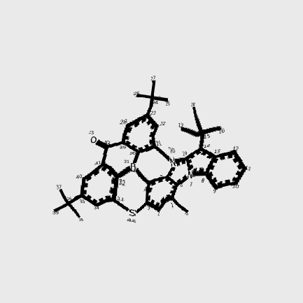 Cc1cc2c3c4c1n1c5ccccc5c(C(C)(C)C)c1n4-c1cc(C(C)(C)C)cc4c1B3c1c(cc(C(C)(C)C)cc1C4=O)S2